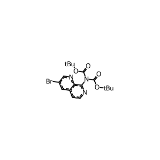 CC(C)(C)OC(=O)N(C(=O)OC(C)(C)C)c1nccc2cc(Br)cnc12